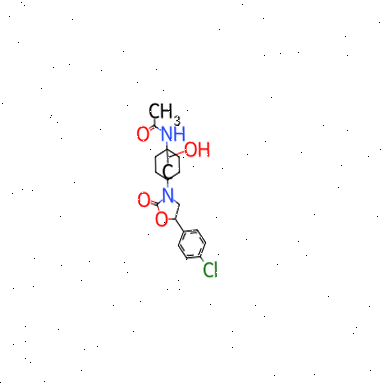 CC(=O)NC12CCC(N3CC(c4ccc(Cl)cc4)OC3=O)(CC1)CC2O